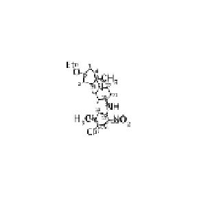 CCO[C@H]1CC[C@](C)(N2CCC(Nc3cc(C)c(Cl)cc3[N+](=O)[O-])CC2)CC1